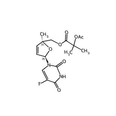 CC(=O)OC(C)(C)C(=O)OC[C@]1(C)C=C[C@H](n2cc(F)c(=O)[nH]c2=O)O1